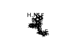 N#Cc1c(N)sc2c(F)ccc(-c3c(Cl)cc4c(N5CC6CCC(C5)N6)nc(OCC5(CN6CCCC(F)(F)C6)CC5)nc4c3F)c12